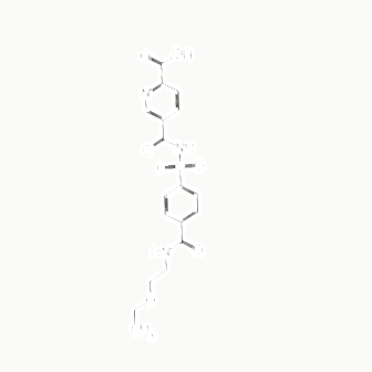 CCOCCNC(=O)c1ccc(S(=O)(=O)NC(=O)c2ccc(C(=O)O)nc2)cc1